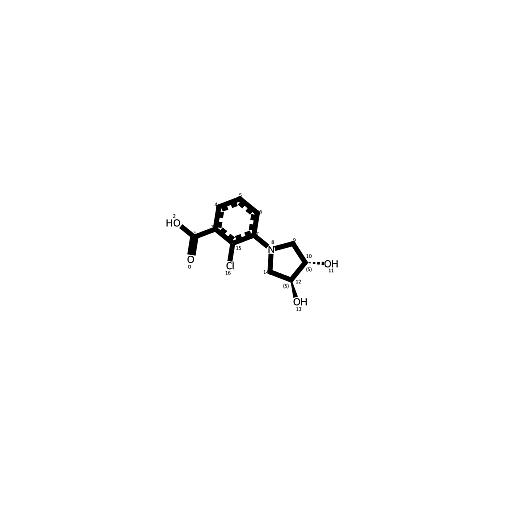 O=C(O)c1cccc(N2C[C@H](O)[C@@H](O)C2)c1Cl